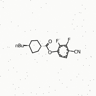 CCCC[C@H]1CC[C@H](C(=O)Oc2ccc(C#N)c(F)c2F)CC1